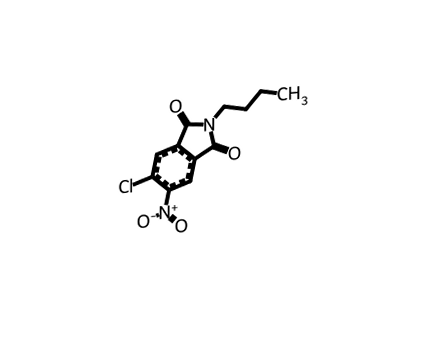 CCCCN1C(=O)c2cc(Cl)c([N+](=O)[O-])cc2C1=O